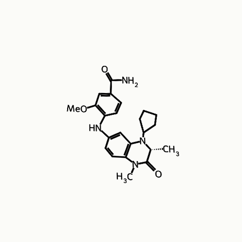 COc1cc(C(N)=O)ccc1Nc1ccc2c(c1)N(C1CCCC1)[C@H](C)C(=O)N2C